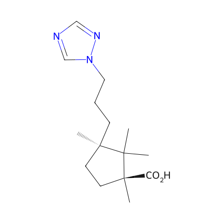 CC1(C)[C@](C)(CCCn2cncn2)CC[C@]1(C)C(=O)O